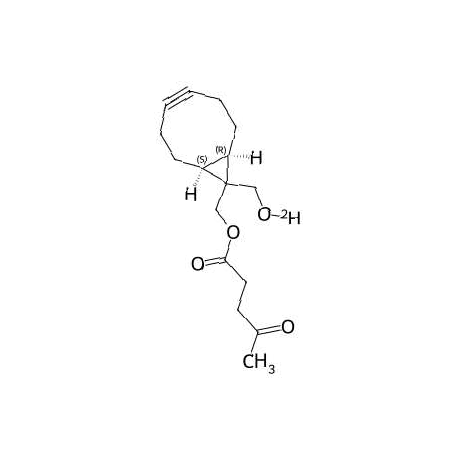 [2H]OCC1(COC(=O)CCC(C)=O)[C@@H]2CCC#CCC[C@@H]21